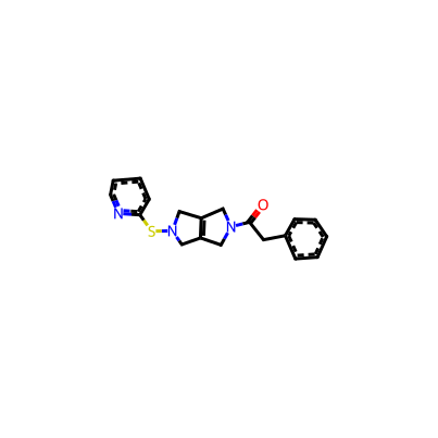 O=C(Cc1ccccc1)N1CC2=C(CN(Sc3ccccn3)C2)C1